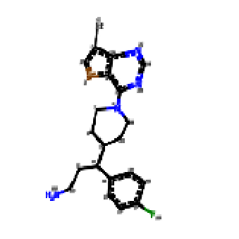 CCc1csc2c(N3CCC(C(CCN)c4ccc(F)cc4)CC3)ncnc12